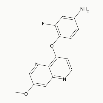 COc1cnc2c(Oc3ccc(N)cc3F)ccnc2c1